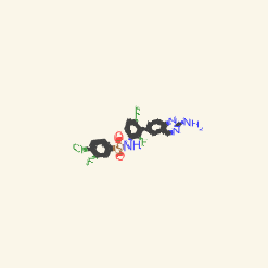 Nc1ncc2cc(-c3c(F)ccc(NS(=O)(=O)c4ccc(Cl)c(F)c4)c3F)ccc2n1